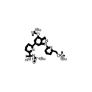 CCC[C@@](I)(N[S@+]([O-])C(C)(C)C)c1cccc(-c2cc(O[Si](C)(C)C(C)(C)C)c3cnn(-c4cccc(CO[Si](C)(C)C(C)(C)C)n4)c3c2)n1